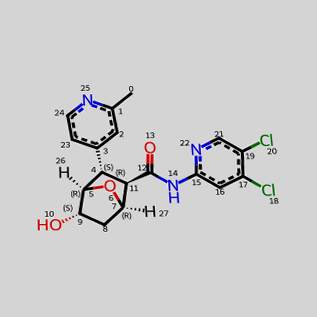 Cc1cc([C@H]2[C@H]3O[C@H](C[C@@H]3O)[C@@H]2C(=O)Nc2cc(Cl)c(Cl)cn2)ccn1